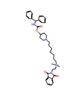 C[N+](C)(CCCCCCCN1CCC(OC(=O)NC(c2ccccc2)c2ccccc2)CC1)CCN1C(=O)c2ccccc2C1=O